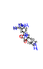 CC(C)[N+]1(C(=O)c2ccc3[nH]nc(C#N)c3c2)N=CC2=C1C(=O)CC1(CCNCC1)C2